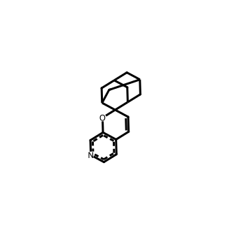 C1=CC2(Oc3cnccc31)C1CC3CC(C1)CC2C3